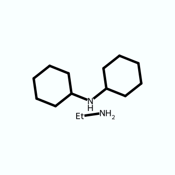 C1CCC(NC2CCCCC2)CC1.CCN